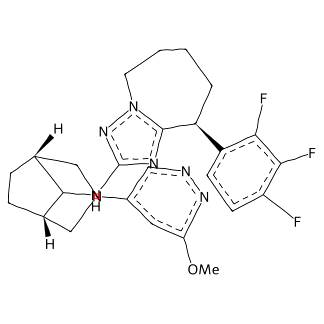 COc1cc(N2C[C@H]3CC[C@@H](C2)C3Nc2nc3n(n2)CCCC[C@H]3c2ccc(F)c(F)c2F)cnn1